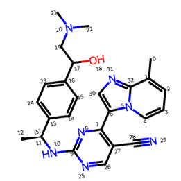 Cc1cccn2c(-c3nc(N[C@@H](C)c4ccc(C(O)CN(C)C)cc4)ncc3C#N)cnc12